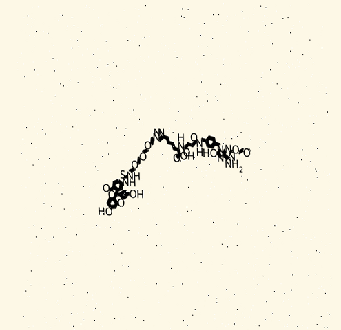 COCCOc1nc(N)c2nc(O)n(Cc3ccc(CNC(=O)CCC(=O)NC(CCCCc4cn(CCOCCOCCOCCNC(=S)Nc5ccc6c(c5)C5(OC6=O)c6ccc(O)cc6Oc6cc(O)ccc65)nn4)C(=O)O)cc3)c2n1